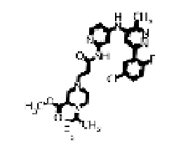 COC(=O)C1CN(CCC(=O)Nc2cc(Nc3cc(-c4cc(Cl)ccc4F)nnc3C)ccn2)CCN1C(C)C